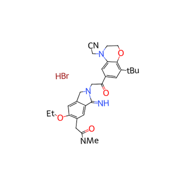 Br.CCOc1cc2c(cc1CC(=O)NC)C(=N)N(CC(=O)c1cc3c(c(C(C)(C)C)c1)OCCN3CC#N)C2